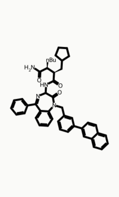 CCCC[C@H](C(N)=O)[C@@H](CC1CCCC1)C(=O)NC1N=C(c2ccccc2)c2ccccc2N(Cc2cccc(-c3ccc4ccccc4c3)c2)C1=O